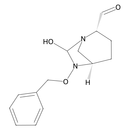 O=C[C@@H]1CC[C@@H]2CN1C(O)N2OCc1ccccc1